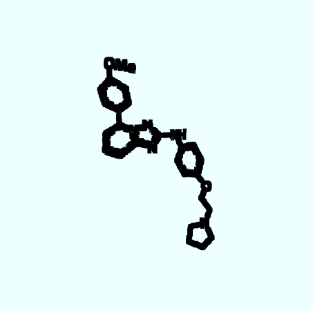 COc1ccc(-c2cccc3nc(Nc4ccc(OCCN5CCCC5)cc4)nn23)cc1